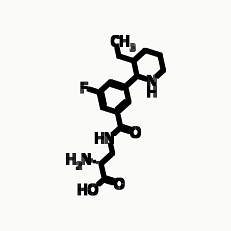 CCC1CCCNC1c1cc(F)cc(C(=O)NC[C@@H](N)C(=O)O)c1